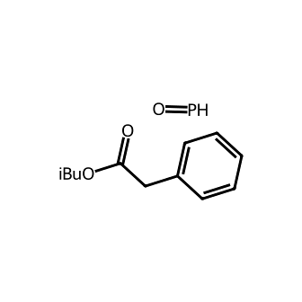 CC(C)COC(=O)Cc1ccccc1.O=P